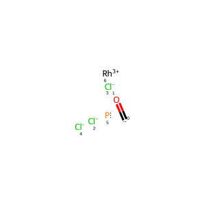 [C]=O.[Cl-].[Cl-].[Cl-].[P].[Rh+3]